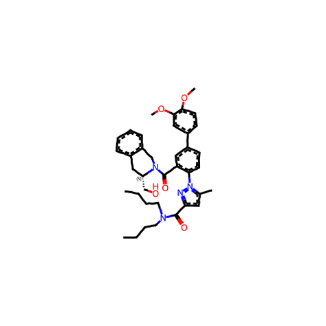 CCCCN(CCCC)C(=O)c1cc(C)n(-c2ccc(-c3ccc(OC)c(OC)c3)cc2C(=O)N2Cc3ccccc3C[C@H]2CO)n1